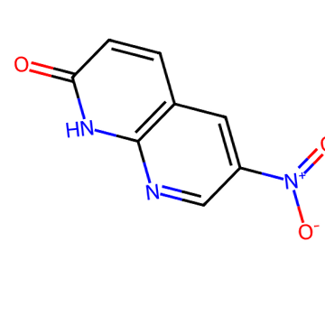 O=c1ccc2cc([N+](=O)[O-])cnc2[nH]1